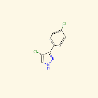 Clc1ccc(-c2n[nH]cc2Cl)cc1